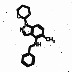 Cc1ccc2c(cnn2C2CCCCO2)c1NCc1ccccc1